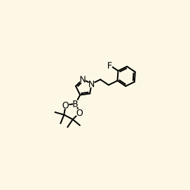 CC1(C)OB(c2cnn(CCc3ccccc3F)c2)OC1(C)C